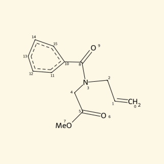 C=CCN(CC(=O)OC)C(=O)c1ccccc1